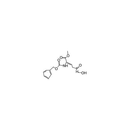 COC(=O)/C(=C/C[PH](=O)CO)NC(=O)OCc1ccccc1